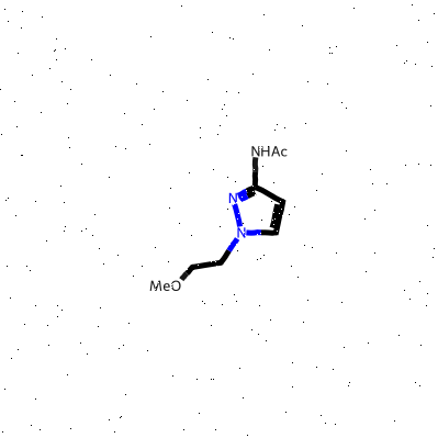 COCCn1ccc(NC(C)=O)n1